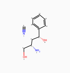 C#N.N[C@H](CO)C[C@@H](O)c1ccccc1